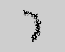 CCC(C(=O)OCCC(C)(C)CCCCOC(C)=O)C(C)(C)CCC(C)(C)C(=O)Cc1ccc(F)cc1